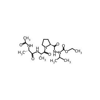 CCOC(=O)N(NC(=O)[C@@H]1CCCN1C(=O)[C@H](C)NC(=O)[C@H](C)NC(C)=O)C(C)C